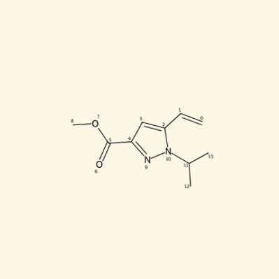 C=Cc1cc(C(=O)OC)nn1C(C)C